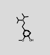 COc1cc(CCN(C(C)C)C(C)C)ccc1O